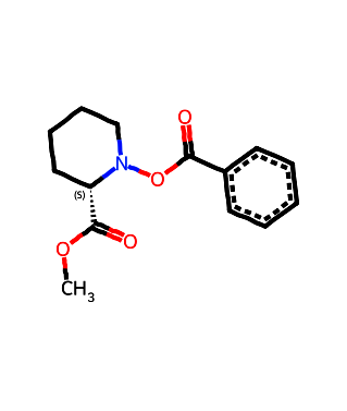 COC(=O)[C@@H]1CCCCN1OC(=O)c1ccccc1